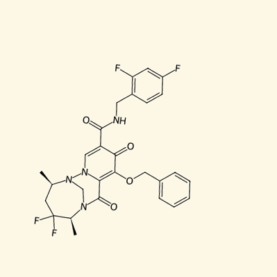 C[C@@H]1CC(F)(F)[C@H](C)N2CN1n1cc(C(=O)NCc3ccc(F)cc3F)c(=O)c(OCc3ccccc3)c1C2=O